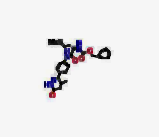 CSCC[C@H](NC(=O)OCc1ccccc1)C(=O)Nc1ccc(C2=NNC(=O)CC2C)cc1